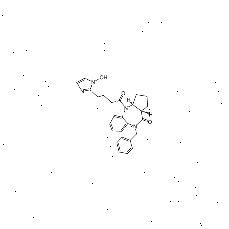 O=C1[C@H]2CCC[C@H]2N(C(=O)CCCc2nccn2O)c2ccccc2N1Cc1ccccc1